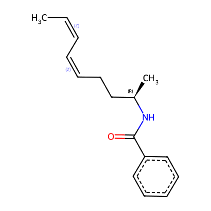 C/C=C\C=C/CC[C@@H](C)NC(=O)c1ccccc1